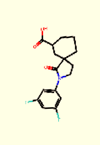 O=C(O)C1CCCC2(CCN(c3cc(F)cc(F)c3)C2=O)C1